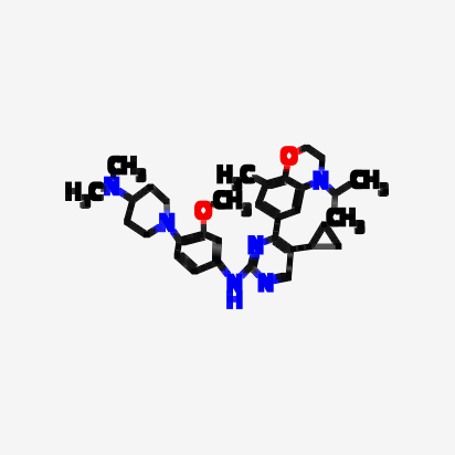 COc1cc(Nc2ncc(C3CC3)c(-c3cc(C)c4c(c3)N(C(C)C)CCO4)n2)ccc1N1CCC(N(C)C)CC1